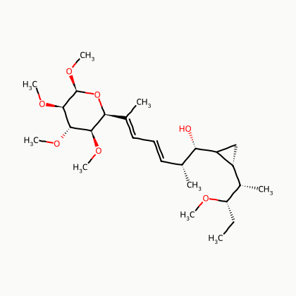 CC[C@H](OC)[C@@H](C)[C@H]1CC1[C@@H](O)[C@H](C)/C=C/C=C(\C)[C@@H]1O[C@H](OC)[C@H](OC)[C@@H](OC)[C@@H]1OC